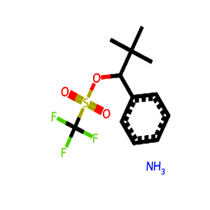 CC(C)(C)C(OS(=O)(=O)C(F)(F)F)c1ccccc1.N